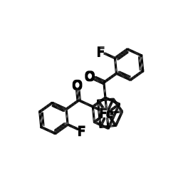 O=C(c1ccccc1F)[C]12[CH]3[CH]4[CH]5[C]1(C(=O)c1ccccc1F)[Fe]43521678[CH]2[CH]1[CH]6[CH]7[CH]28